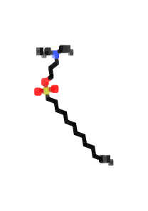 CCCCCCCCCCCCS(=O)(=O)OCCCN(C)C